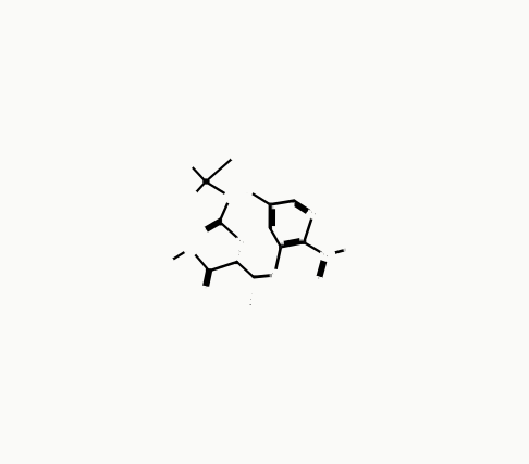 COC(=O)[C@H](NC(=O)OC(C)(C)C)[C@@H](C)Nc1cc(Br)cnc1[N+](=O)[O-]